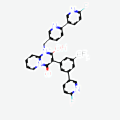 O=c1c(-c2cc(-c3ccc(F)nc3)cc(C(F)(F)F)c2)c(O)[n+](Cc2ccc(-c3ccc(F)nc3)nc2)c2ccccn12